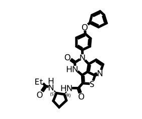 CCC(=O)N[C@H]1CCC[C@H]1NC(=O)c1sc2nccc3c2c1NC(=O)N3c1ccc(Oc2ccccc2)cc1